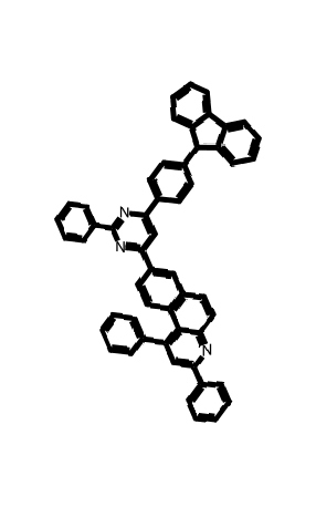 c1ccc(-c2cc(-c3ccccc3)c3c(ccc4cc(-c5cc(-c6ccc(C7c8ccccc8-c8ccccc87)cc6)nc(-c6ccccc6)n5)ccc43)n2)cc1